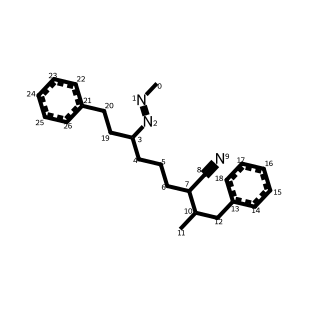 CN=NC(CCCC(C#N)C(C)Cc1ccccc1)CCc1ccccc1